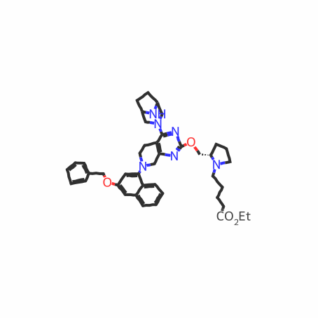 CCOC(=O)CCCCN1CCC[C@H]1COc1nc2c(c(N3CC4CCC(C3)N4)n1)CCN(c1cc(OCc3ccccc3)cc3ccccc13)C2